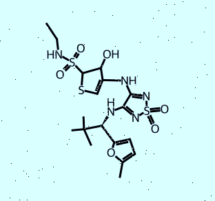 CCNS(=O)(=O)C1SC=C(NC2=NS(=O)(=O)N=C2N[C@@H](c2ccc(C)o2)C(C)(C)C)C1O